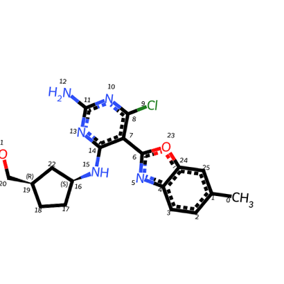 Cc1ccc2nc(-c3c(Cl)nc(N)nc3N[C@H]3CC[C@@H](CO)C3)oc2c1